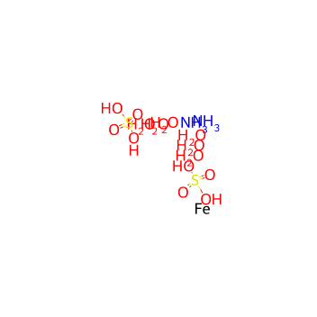 N.N.O.O.O.O.O.O.O=S(=O)(O)O.O=S(=O)(O)O.[Fe]